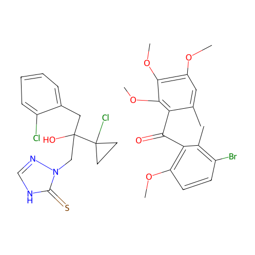 COc1cc(C)c(C(=O)c2c(OC)ccc(Br)c2C)c(OC)c1OC.OC(Cc1ccccc1Cl)(Cn1nc[nH]c1=S)C1(Cl)CC1